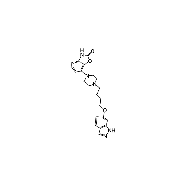 O=c1[nH]c2cccc(N3CCN(CCCCOc4ccc5cn[nH]c5c4)CC3)c2o1